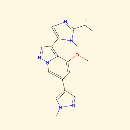 COc1cc(-c2cnn(C)c2)cn2ncc(-c3cnc(C(C)C)n3C)c12